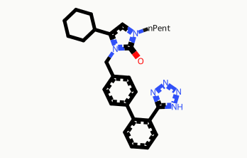 CCCCCn1cc(C2CCCCC2)n(Cc2ccc(-c3ccccc3-c3nnn[nH]3)cc2)c1=O